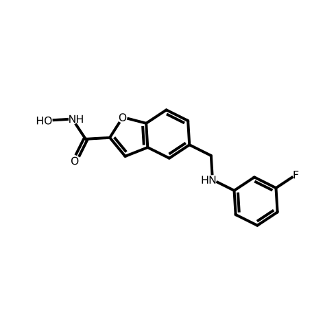 O=C(NO)c1cc2cc(CNc3cccc(F)c3)ccc2o1